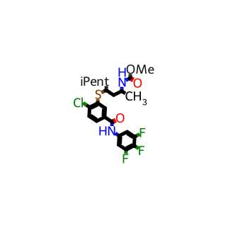 CCCC(C)C(CC(C)NC(=O)OC)Sc1cc(C(=O)Nc2cc(F)c(F)c(F)c2)ccc1Cl